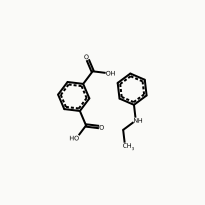 CCNc1ccccc1.O=C(O)c1cccc(C(=O)O)c1